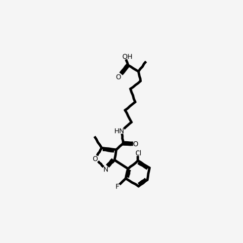 Cc1onc(-c2c(F)cccc2Cl)c1C(=O)NCCCCCC(C)C(=O)O